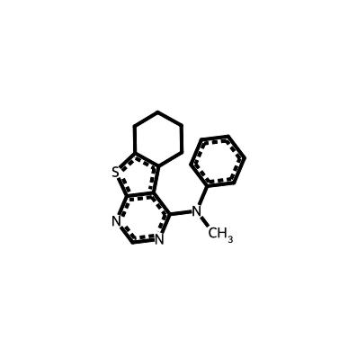 CN(c1ccccc1)c1ncnc2sc3c(c12)CCCC3